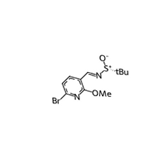 COc1nc(Br)ccc1C=N[S@+]([O-])C(C)(C)C